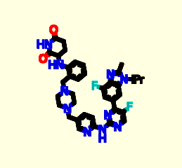 Cc1nc2c(F)cc(-c3nc(Nc4ccc(CN5CCN(Cc6ccccc6NC6CCC(=O)NC6=O)CC5)cn4)ncc3F)cc2n1C(C)C